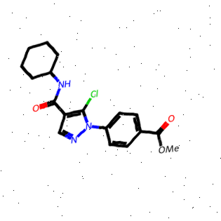 COC(=O)c1ccc(-n2ncc(C(=O)NC3CCCCC3)c2Cl)cc1